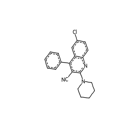 N#Cc1c(N2CCCCC2)nc2ccc(Cl)cc2c1-c1ccccc1